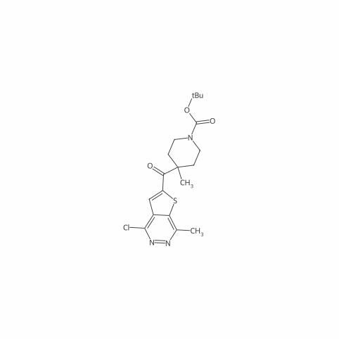 Cc1nnc(Cl)c2cc(C(=O)C3(C)CCN(C(=O)OC(C)(C)C)CC3)sc12